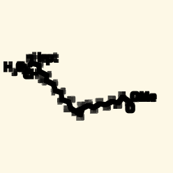 CCCCCCCC(CCCCCCCCCCC1CC1CCCCCCCC(=O)OC)N(C)C